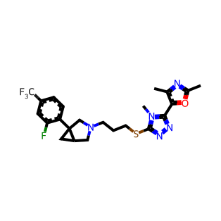 Cc1nc(C)c(-c2nnc(SCCCN3CC4CC4(c4ccc(C(F)(F)F)cc4F)C3)n2C)o1